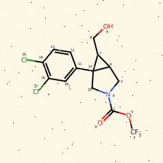 O=C(OC(F)(F)F)N1CC2C(CO)C2(c2ccc(Cl)c(Cl)c2)C1